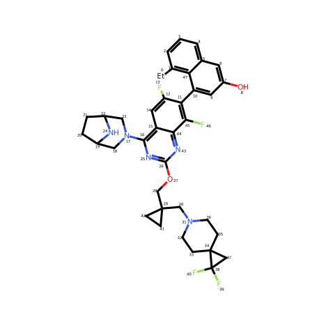 CCc1cccc2cc(O)cc(-c3c(F)cc4c(N5CC6CCC(C5)N6)nc(OCC5(CN6CCC7(CC6)CC7(F)F)CC5)nc4c3F)c12